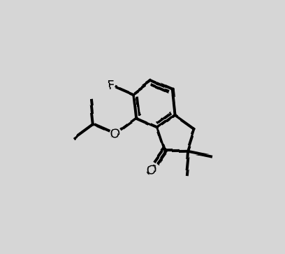 CC(C)Oc1c(F)ccc2c1C(=O)C(C)(C)C2